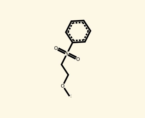 [C]OCCS(=O)(=O)c1ccccc1